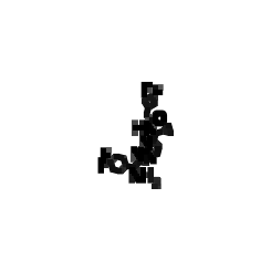 N[C@H](c1cn2ccc([C@H](NC(=O)CC3CC(F)(F)C3)C3CC3)nc2n1)C1CCC(F)(F)CC1